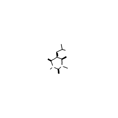 CC(C)C=C1C(=O)N(C)C(=S)N(C)C1=O